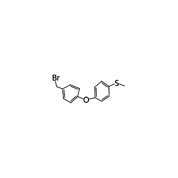 CSc1ccc(Oc2ccc(CBr)cc2)cc1